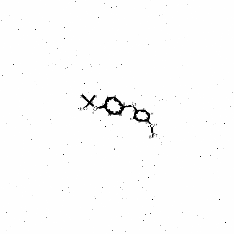 CCC(C)(C)Oc1ccc(Sc2ccc(OC(C)C)cc2)cc1